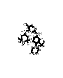 CN1C(C)(C)CC(Nc2nc(Nc3ccc(N4CCOCC4)c(C(F)(F)F)c3)ncc2Cl)CC1(C)C